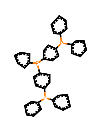 c1ccc(P(c2ccccc2)c2ccc(P(c3ccccc3)c3ccc(P(c4ccccc4)c4ccccc4)cc3)cc2)cc1